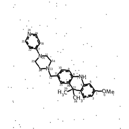 COc1ccc2c(c1)Nc1ccc(CN3CCN(c4ccncc4)CC3)cc1C2(C)C